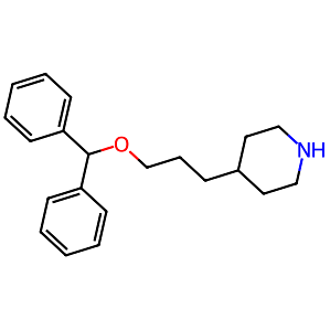 c1ccc(C(OCCCC2CCNCC2)c2ccccc2)cc1